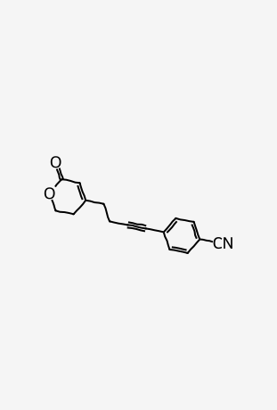 N#Cc1ccc(C#CCCC2=CC(=O)OCC2)cc1